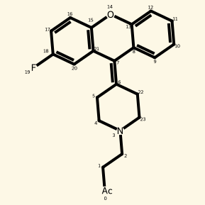 CC(=O)CCN1CCC(=C2c3ccccc3Oc3ccc(F)cc32)CC1